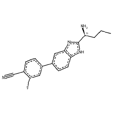 CCC[C@H](N)c1nc2cc(-c3ccc(C#N)c(F)c3)ccc2[nH]1